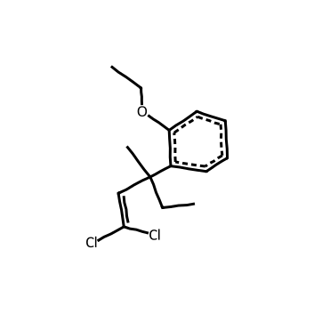 CCOc1ccccc1C(C)(C=C(Cl)Cl)CC